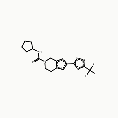 O=C(NC1CCCC1)N1CCc2cc(-c3noc(C(F)(F)F)n3)sc2C1